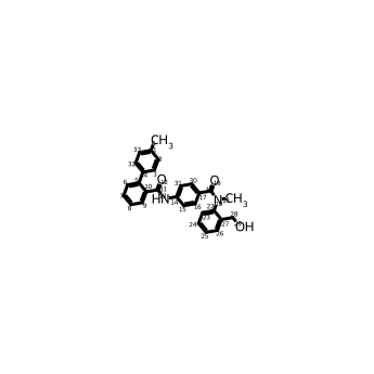 Cc1ccc(-c2ccccc2C(=O)Nc2ccc(C(=O)N(C)c3ccccc3CO)cc2)cc1